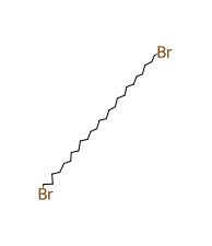 BrCCCCCCCCCCCCCCCCCCCCCCCCCBr